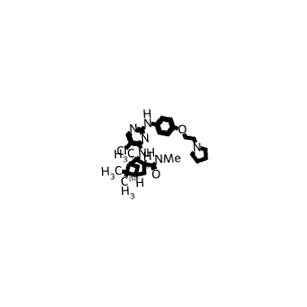 CNC(=O)[C@@H]1C[C@@H]2CC(C2(C)C)[C@]1(C)Nc1nc(Nc2ccc(OCCN3CCCC3)cc2)ncc1Cl